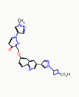 Cn1cc(-n2ccc(=O)c(COc3ccc4ncc(-c5cnn(C6CN(C(=O)O)C6)c5)cc4c3)n2)cn1